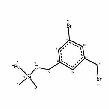 CC(C)(C)[Si](C)(C)OCc1cc(Br)cc(CBr)c1